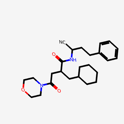 N#CC(CCc1ccccc1)NC(=O)C(CC(=O)N1CCOCC1)CC1CCCCC1